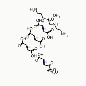 NCCNCCNCCN.O.O.O.O.O=C(O)/C=C/C(=O)O.O=C(O)/C=C/C(=O)O.O=C(O)/C=C/C(=O)O.O=C(O)/C=C/C(=O)O